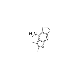 Cc1sc2nc3c(c(N)c2c1C)CCC3